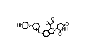 O=CC(=O)C1c2cc(CN3CCCC(N4CCNCC4)C3)ccc2CN1C1CCC(=O)NC1=O